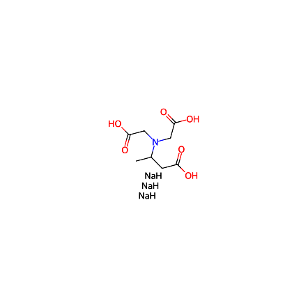 CC(CC(=O)O)N(CC(=O)O)CC(=O)O.[NaH].[NaH].[NaH]